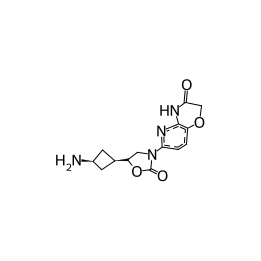 N[C@H]1C[C@@H](C2CN(c3ccc4c(n3)NC(=O)CO4)C(=O)O2)C1